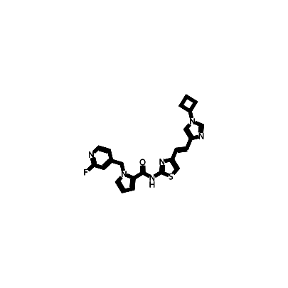 O=C(Nc1nc(C=Cc2cn(C3CCC3)cn2)cs1)c1cccn1Cc1ccnc(F)c1